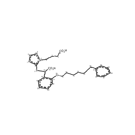 O=C(O)CCCn1nnnc1SC(C(=O)O)c1ccccc1OCCCCCCc1ccccc1